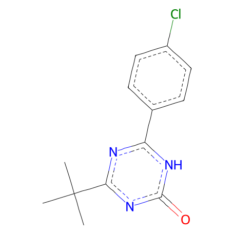 CC(C)(C)c1nc(-c2ccc(Cl)cc2)[nH]c(=O)n1